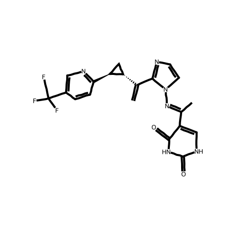 C=C(c1nccn1/N=C(\C)c1c[nH]c(=O)[nH]c1=O)[C@H]1C[C@@H]1c1ccc(C(F)(F)F)cn1